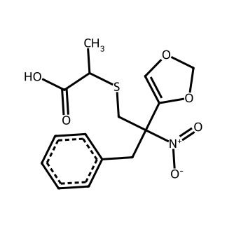 CC(SCC(Cc1ccccc1)(C1=COCO1)[N+](=O)[O-])C(=O)O